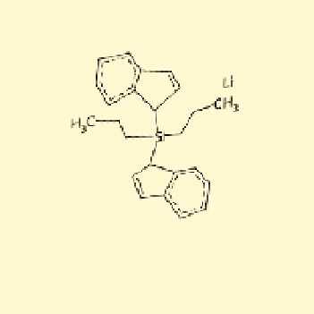 CCC[Si](CCC)(C1C=Cc2ccccc21)C1C=Cc2ccccc21.[Li]